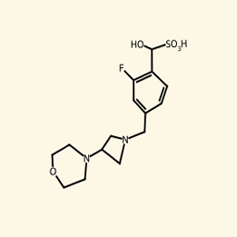 O=S(=O)(O)C(O)c1ccc(CN2CC(N3CCOCC3)C2)cc1F